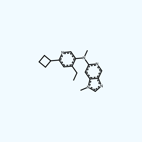 CCc1cc(C2CCC2)ncc1N(C)c1cc2c(cn1)ncn2C